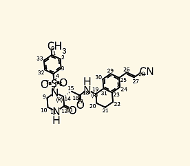 Cc1ccc(S(=O)(=O)N2CCNC(=O)[C@H]2CC(=O)N[C@@H]2CCCc3cc(C=CC#N)ccc32)cc1